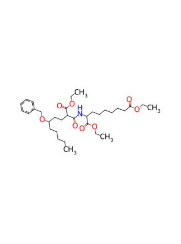 CCCCCC(CCC(C(=O)NC(CCCCCCC(=O)OCC)C(=O)OCC)C(=O)OCC)OCc1ccccc1